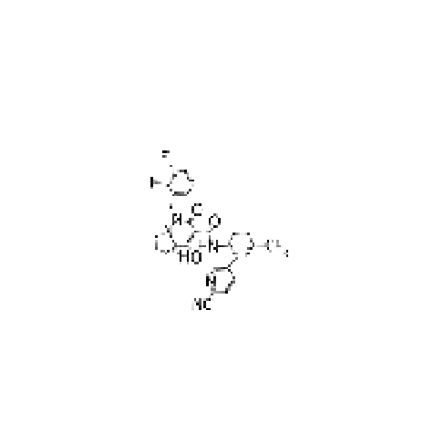 C[C@]12CCCN1N(Cc1cccc(F)c1F)C(=O)C(C(=O)Nc1ccc(C(F)(F)F)cc1-c1ccc(C#N)nc1)=C2O